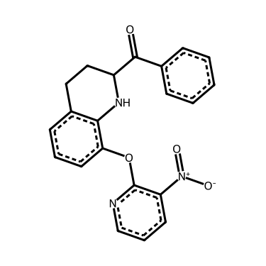 O=C(c1ccccc1)C1CCc2cccc(Oc3ncccc3[N+](=O)[O-])c2N1